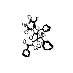 O=C(c1ccccc1)C(O)[C@H]1O[C@@H](n2cc(F)c(=O)[nH]c2=O)[C@@](O)(C(=O)c2ccccc2)[C@@]1(O)C(=O)c1ccccc1